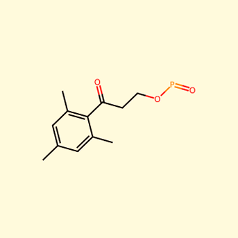 Cc1cc(C)c(C(=O)CCOP=O)c(C)c1